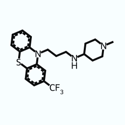 CN1CCC(NCCCN2c3ccccc3Sc3ccc(C(F)(F)F)cc32)CC1